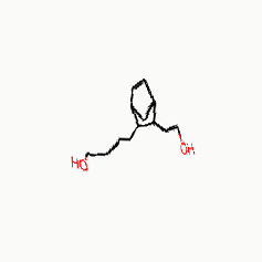 OCCCCC1C2C=CC(C2)C1CCO